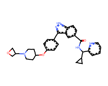 O=C(NC(c1ccccn1)C1CC1)c1ccc2[nH]nc(-c3ccc(OC4CCN(C5COC5)CC4)cc3)c2c1